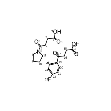 O=C(O)CCC(=O)N1CCCC1.O=C(O)CCC(=O)c1ccc(F)cc1